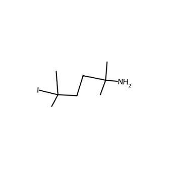 CC(C)(N)CCC(C)(C)I